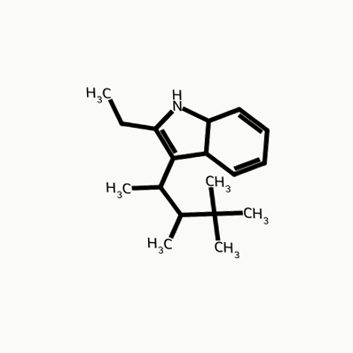 CCC1=C(C(C)C(C)C(C)(C)C)C2C=CC=CC2N1